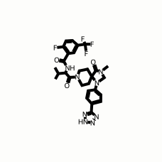 CC(C)C(NC(=O)c1cc(C(F)(F)F)ccc1F)C(=O)N1CCC2(CC1)C(=O)N(C)CN2c1ccc(-c2nn[nH]n2)cc1